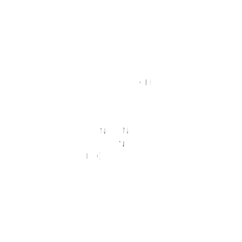 CC[C@@H]1CCn2nc(C)nc2C1